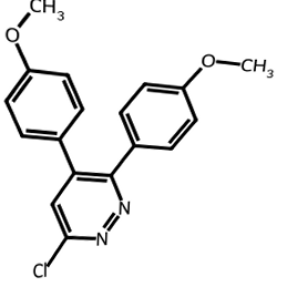 COc1ccc(-c2cc(Cl)nnc2-c2ccc(OC)cc2)cc1